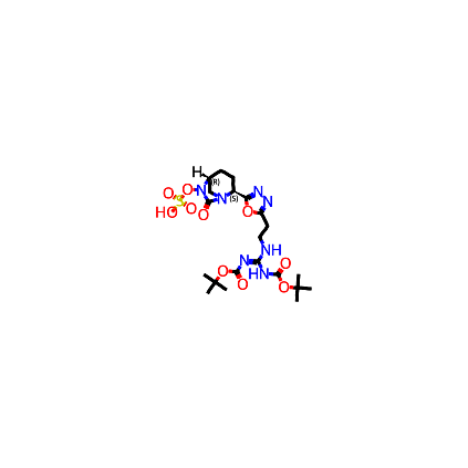 CC(C)(C)OC(=O)N=C(NCCc1nnc([C@@H]2CC[C@@H]3CN2C(=O)N3OS(=O)(=O)O)o1)NC(=O)OC(C)(C)C